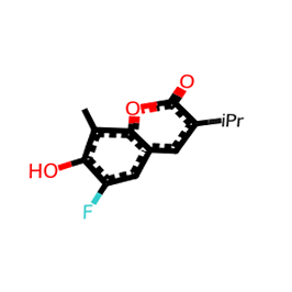 Cc1c(O)c(F)cc2cc(C(C)C)c(=O)oc12